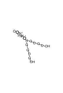 COc1ccc2c(c1)sc(/N=N/c1ccc(N(CCOCCCOCCOCCOCCO)CCOCCOCCOCCOCCO)cc1C)[n+]2C